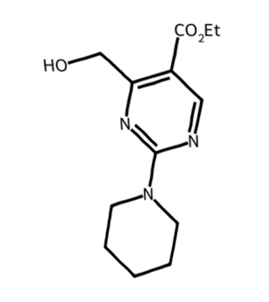 CCOC(=O)c1cnc(N2CCCCC2)nc1CO